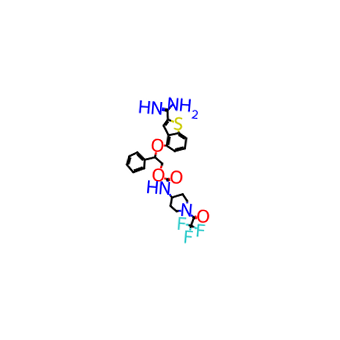 N=C(N)c1cc2c(OC(COC(=O)NC3CCN(C(=O)C(F)(F)F)CC3)c3ccccc3)cccc2s1